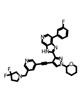 Fc1cccc(-c2cncc3[nH]c(-c4nn(C5CCCCO5)cc4C#Cc4cncc(CN5CCC(F)(F)C5)c4)nc23)c1